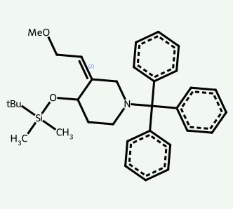 COC/C=C1/CN(C(c2ccccc2)(c2ccccc2)c2ccccc2)CCC1O[Si](C)(C)C(C)(C)C